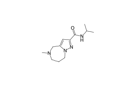 CC(C)NC(=O)c1cc2n(n1)CCCN(C)C2